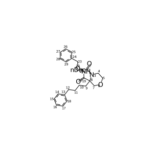 CCCCCCCCCCC(=O)N1CCOCC1(CCCCc1ccccc1)C(=O)NOCc1ccccc1